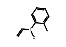 C=C[S+]([O-])c1ccccc1C